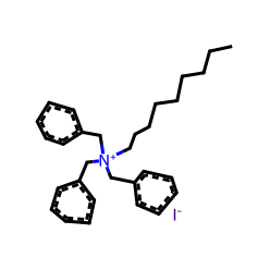 CCCCCCCCC[N+](Cc1ccccc1)(Cc1ccccc1)Cc1ccccc1.[I-]